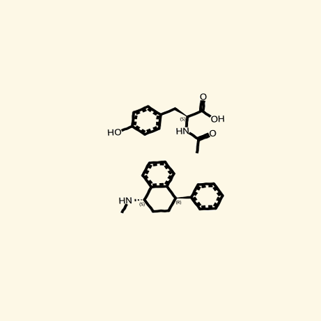 CC(=O)N[C@@H](Cc1ccc(O)cc1)C(=O)O.CN[C@H]1CC[C@H](c2ccccc2)c2ccccc21